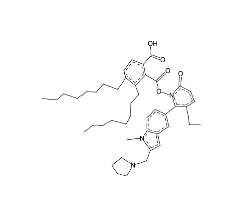 CCCCCCCCc1ccc(C(=O)O)c(C(=O)On2c(-c3ccc4c(c3)cc(CN3CCCC3)n4C)c(CC)ccc2=O)c1CCCCCCCC